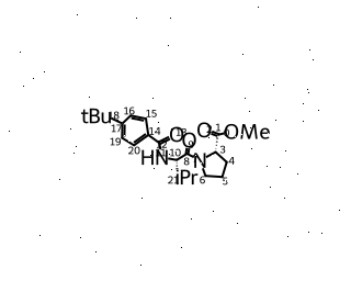 COC(=O)[C@@H]1CCCN1C(=O)[C@@H](NC(=O)c1ccc(C(C)(C)C)cc1)C(C)C